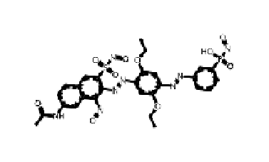 CCOc1cc(/N=N/c2c(S(=O)(=O)N=O)cc3ccc(NC(C)=O)cc3c2N=O)c(OCC)cc1/N=N/c1cccc(P(=O)(O)N=O)c1